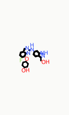 OCc1n[nH]c2cc(Nc3ncc4ccc(F)c(O[C@H]5CC[C@@H](O)CC5)c4n3)ccc12